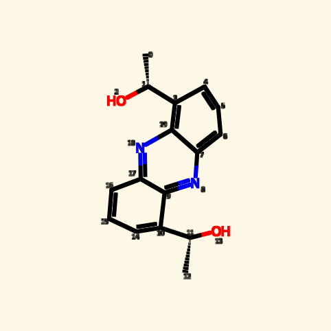 C[C@@H](O)c1cccc2nc3c([C@@H](C)O)cccc3nc12